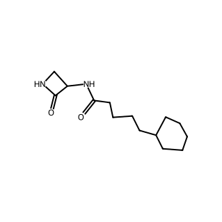 O=C(CCCCC1CCCCC1)NC1CNC1=O